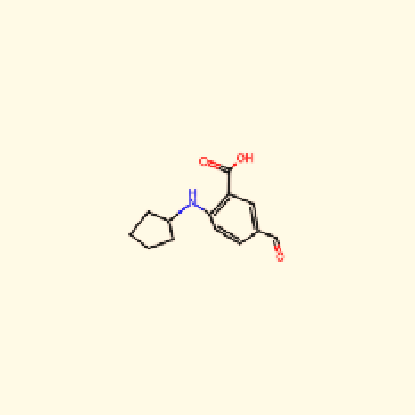 O=Cc1ccc(NC2CCCC2)c(C(=O)O)c1